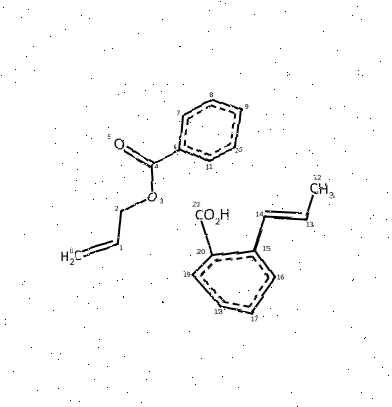 C=CCOC(=O)c1ccccc1.CC=Cc1ccccc1C(=O)O